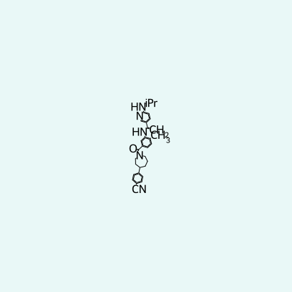 C=C(Nc1cc(C(=O)N2CCCC(c3ccc(C#N)cc3)CC2)ccc1C)c1ccc(NC(C)C)nc1